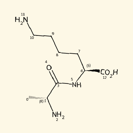 C[C@@H](N)C(=O)N[C@@H](CCCCN)C(=O)O